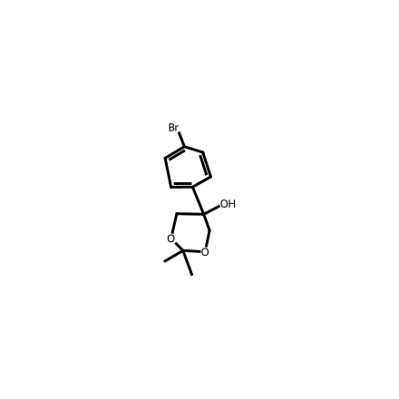 CC1(C)OCC(O)(c2ccc(Br)cc2)CO1